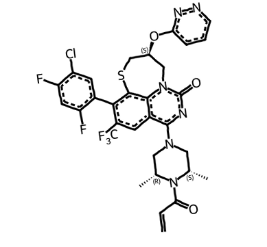 C=CC(=O)N1[C@H](C)CN(c2nc(=O)n3c4c(c(-c5cc(Cl)c(F)cc5F)c(C(F)(F)F)cc24)SC[C@@H](Oc2cccnn2)C3)C[C@@H]1C